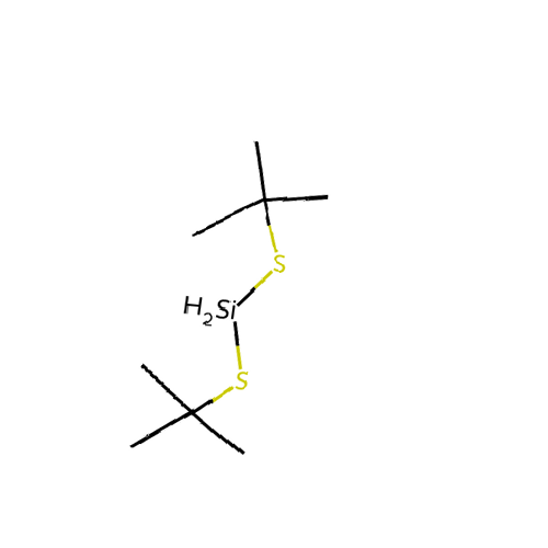 CC(C)(C)S[SiH2]SC(C)(C)C